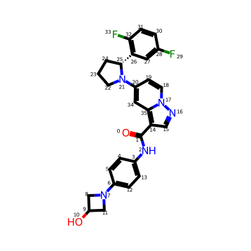 O=C(Nc1ccc(N2CC(O)C2)cc1)c1cnn2ccc(N3CCC[C@@H]3c3cc(F)ccc3F)cc12